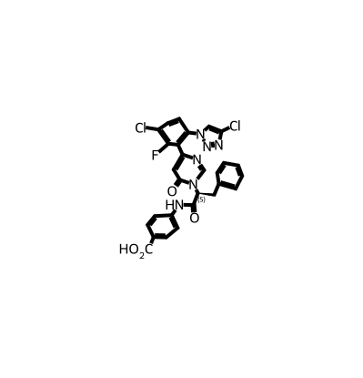 O=C(O)c1ccc(NC(=O)[C@H](Cc2ccccc2)n2cnc(-c3c(-n4cc(Cl)nn4)ccc(Cl)c3F)cc2=O)cc1